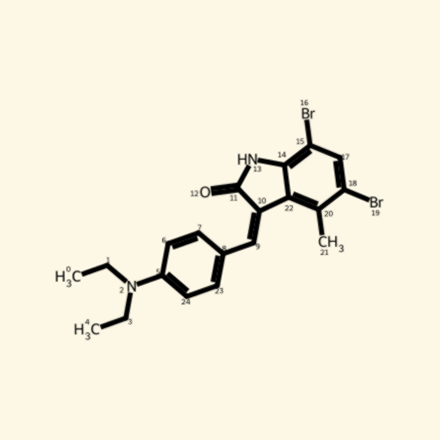 CCN(CC)c1ccc(C=C2C(=O)Nc3c(Br)cc(Br)c(C)c32)cc1